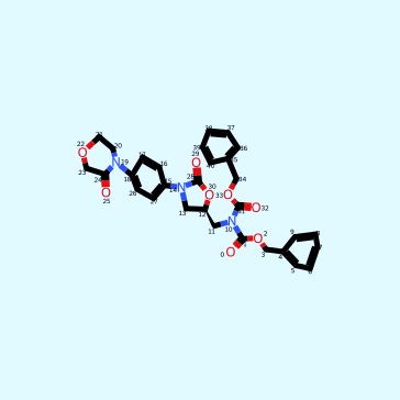 O=C(OCc1ccccc1)N(C[C@H]1CN(c2ccc(N3CCOCC3=O)cc2)C(=O)O1)C(=O)OCc1ccccc1